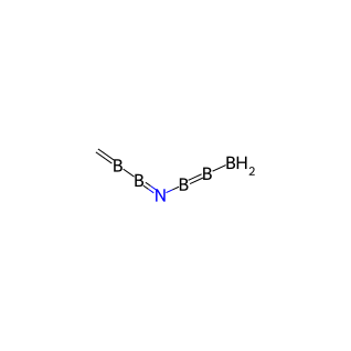 BB=BN=BB=C